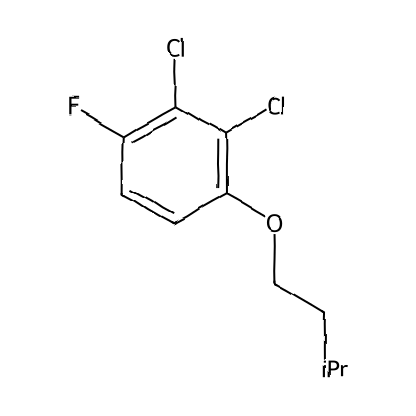 CC(C)CCOc1ccc(F)c(Cl)c1Cl